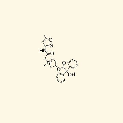 Cc1cc(NC(=O)C[N@+]2(C)CCC(OC(=O)C(O)(c3ccccc3)c3ccccc3)C2)no1